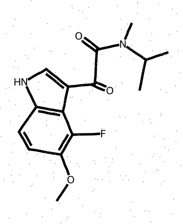 COc1ccc2[nH]cc(C(=O)C(=O)N(C)C(C)C)c2c1F